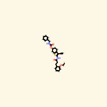 C#Cc1c(NC(=O)CCc2ccccc2OCC)sc2c1CCC(OC(=O)NCc1ccccc1)C2